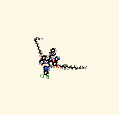 [C-]#[N+]/C(c1cnc2cc(Cl)c(Cl)cc2n1)=c1\c2c(-c3ccc(OCCCCCCCCCCCCCCCCCCCC)cc3)n(B(c3cccnc3)c3cccnc3)/c(=C(/C#N)c3cnc4ccccc4n3)c2c(-c2ccc(OCCCCCCCCCCCCCCCCCCCC)cc2)n1B(c1cccnc1)c1cccnc1